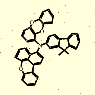 CC1(C)c2ccccc2-c2ccc(N(c3cccc4c3Oc3ccccc3O4)c3ccc4c5c(cccc35)Oc3ccccc3-4)cc21